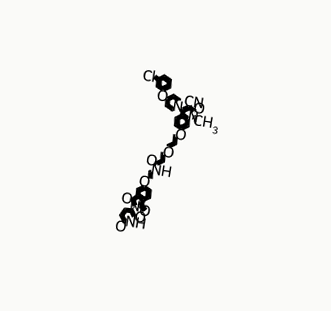 Cn1c(=O)c(C#N)c(N2CCC(Oc3cccc(Cl)c3)CC2)c2ccc(OCCCOCCC(=O)NCCOc3ccc4c(c3)C(=O)N([C@H]3CCC(=O)NC3=O)C4=O)cc21